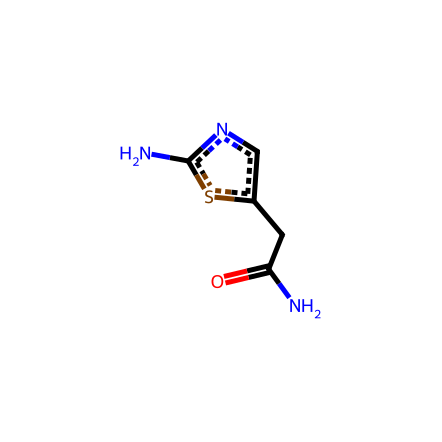 NC(=O)Cc1cnc(N)s1